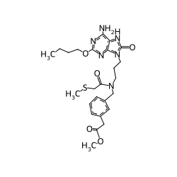 CCCCOc1nc(N)c2[nH]c(=O)n(CCCN(Cc3cccc(CC(=O)OC)c3)C(=O)CSC)c2n1